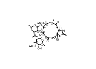 CC[C@H]1OC(=O)[C@H](C)[C@@H](O[C@H]2C[C@@](C)(OC)C(O)[C@H](C)O2)[C@H](C)[C@@H](O[C@@H]2O[C@H](C)C[C@H](N(C)C)[C@H]2OC(C)=O)[C@](C)(OC)C[C@@H](C)C(=O)[C@H](C)[C@H]2NC(=O)O[C@@]21C